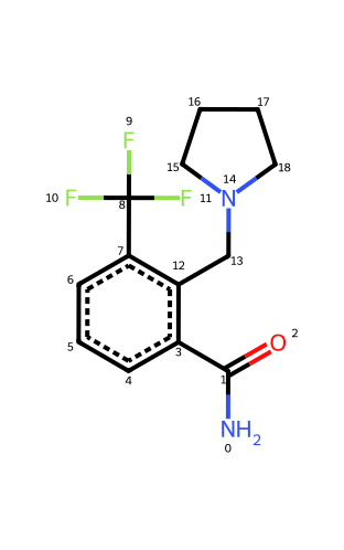 NC(=O)c1cccc(C(F)(F)F)c1CN1CCCC1